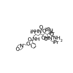 CC(C)CN(C(N)=O)C(=O)C(CC(O)C(CC(CNC(=O)c1ccccc1OCCN1CCOCC1)C(C)C)NC(=O)OC(C)(C)C)C(C)C